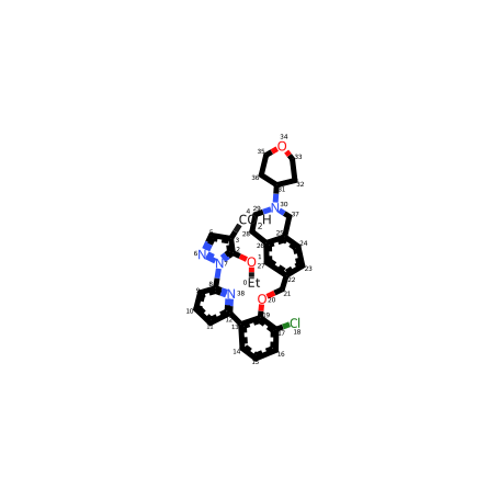 CCOc1c(C(=O)O)cnn1-c1cccc(-c2cccc(Cl)c2OCc2ccc3c(c2)CCN(C2CCOCC2)C3)n1